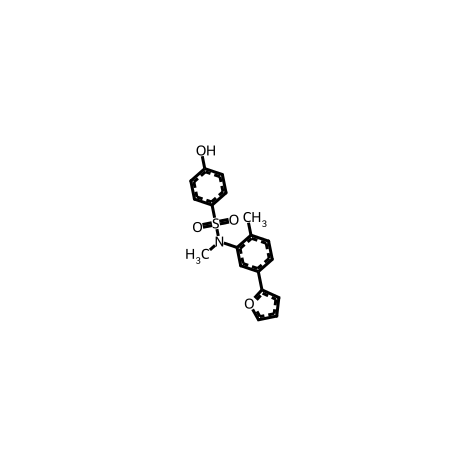 Cc1ccc(-c2ccco2)cc1N(C)S(=O)(=O)c1ccc(O)cc1